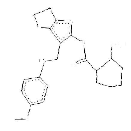 O=C(O)C1CCCCC1C(=O)Nc1sc2c(c1CNc1ccc(OC(F)(F)F)cc1)CCC2